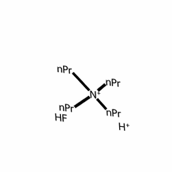 CCC[N+](CCC)(CCC)CCC.F.[H+]